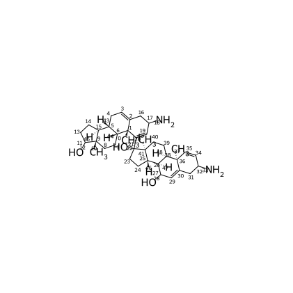 C[C@]12C(=CC[C@@H]3[C@H]1CC[C@]1(C)C(O)CC[C@@H]31)CC(N)C=C2C1(O)CC[C@H]2[C@@H]3C(O)C=C4CC(N)C=C[C@]4(C)[C@@H]3CC[C@@]21C